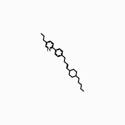 CCCCCC1CCC(C=CCCc2ccc(-c3ccc(CCC)cn3)cc2)CC1